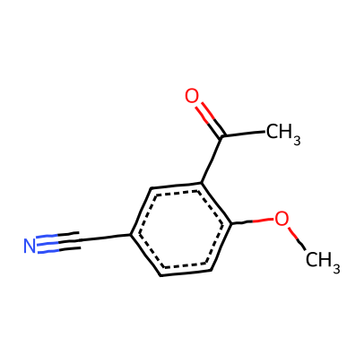 COc1ccc(C#N)cc1C(C)=O